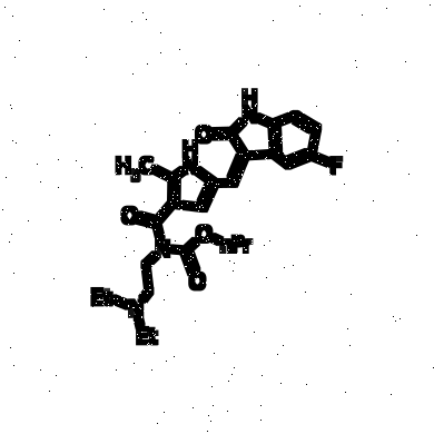 CCCOC(=O)N(CCN(CC)CC)C(=O)c1cc(C=C2C(=O)Nc3ccc(F)cc32)[nH]c1C